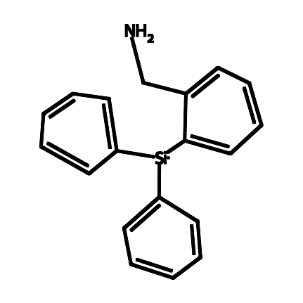 NCc1ccccc1[Si](c1ccccc1)c1ccccc1